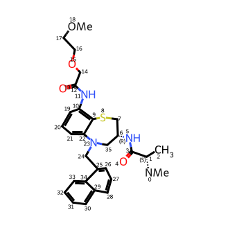 CN[C@@H](C)C(=O)N[C@H]1CSc2c(NC(=O)COCCOC)cccc2N(Cc2cccc3ccccc23)C1